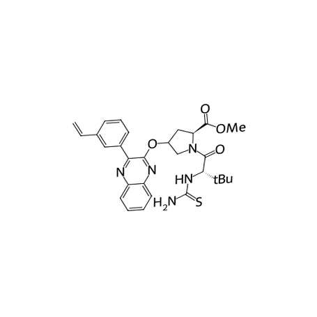 C=Cc1cccc(-c2nc3ccccc3nc2OC2C[C@@H](C(=O)OC)N(C(=O)[C@@H](NC(N)=S)C(C)(C)C)C2)c1